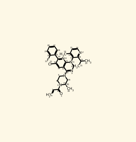 C=CC(=O)N1CCN(C2=NCN(c3c(C)ccnc3C(C)C)c3nc(-c4ccccc4F)c(Cl)cc32)C[C@H]1C